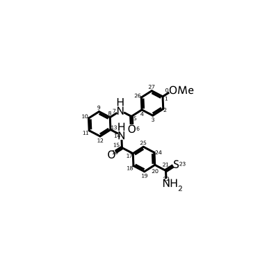 COc1ccc(C(=O)Nc2ccccc2NC(=O)c2ccc(C(N)=S)cc2)cc1